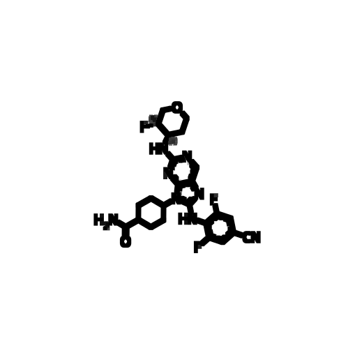 N#Cc1cc(F)c(Nc2nc3cnc(N[C@@H]4CCOC[C@H]4F)nc3n2C2CCC(C(N)=O)CC2)c(F)c1